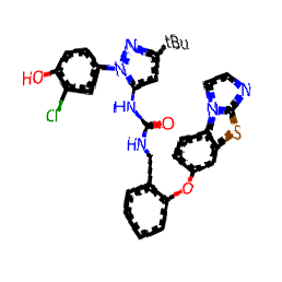 CC(C)(C)c1cc(NC(=O)NCc2ccccc2Oc2ccc3c(c2)sc2nccn23)n(-c2ccc(O)c(Cl)c2)n1